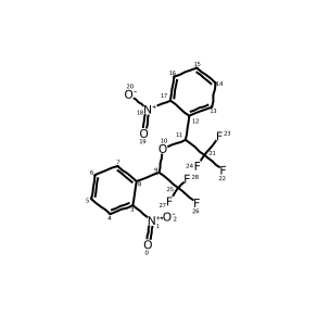 O=[N+]([O-])c1ccccc1C(OC(c1ccccc1[N+](=O)[O-])C(F)(F)F)C(F)(F)F